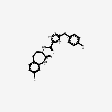 O=C(N[C@H]1CCc2ccc(F)cc2NC1=O)c1nnc(Cc2ccc(F)cc2)[nH]1